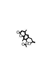 C=C(Cl)Cc1cc2c(C)cc(=O)oc2c(C)c1OC(C)=O